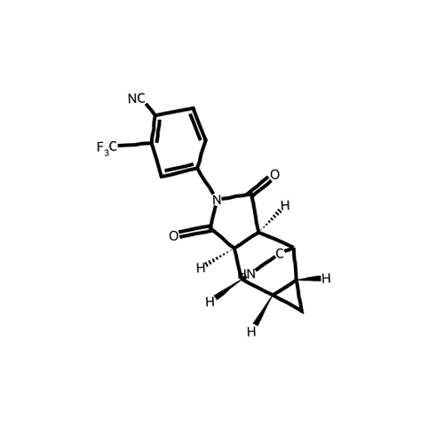 N#Cc1ccc(N2C(=O)[C@@H]3[C@@H]4NCC([C@@H]5C[C@H]45)[C@@H]3C2=O)cc1C(F)(F)F